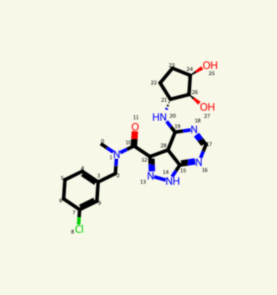 CN(CC1=CCCC(Cl)=C1)C(=O)C1=NNC2=NC=NC(N[C@@H]3CC[C@@H](O)[C@H]3O)C21